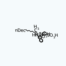 CCCCCCCCCCCCCCCCC(C)CNc1cc2ccccc2c(OC2(N)C=C(S(=O)(=O)O)C=CC2)c1C(=O)O